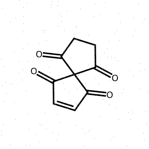 O=C1C=CC(=O)C12C(=O)CCC2=O